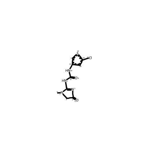 CN1CC(=O)N=C1NC(=O)Nc1csc(Cl)c1